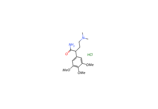 COc1cc(C(CCN(C)C)C(N)=O)cc(OC)c1OC.Cl